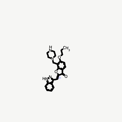 CCCOc1ccc2c(c1CN1CCNCC1)O/C(=C\c1n[nH]c3ccccc13)C2=O